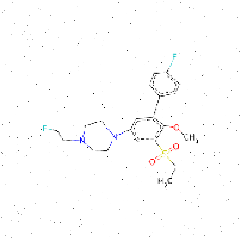 CCS(=O)(=O)c1cc(N2CCN(CCF)CC2)cc(-c2ccc(F)cc2)c1OC